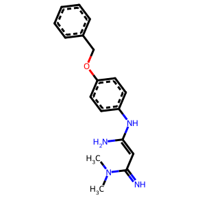 CN(C)C(=N)/C=C(\N)Nc1ccc(OCc2ccccc2)cc1